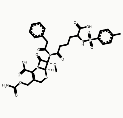 CO[C@@]1(N(C(=O)CCCC(NS(=O)(=O)c2ccc(C)cc2)C(=O)O)C(=O)Cc2ccccc2)C(=O)N2C(C(=O)O)=C(COC(N)=O)CS[C@@H]21